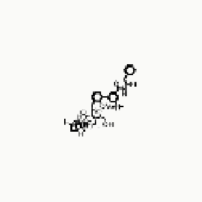 CC[C@H](Cc1ccccc1)NC(=O)c1cc(-c2cccc(CN3O[C@@H](CO)[C@@H]([C@H](C)O)[C@H]3C(=O)N[C@H]3C[C@H]4C[C@@H]([C@@H]3C)C4(C)C)c2OC)cc(N(C)C)c1